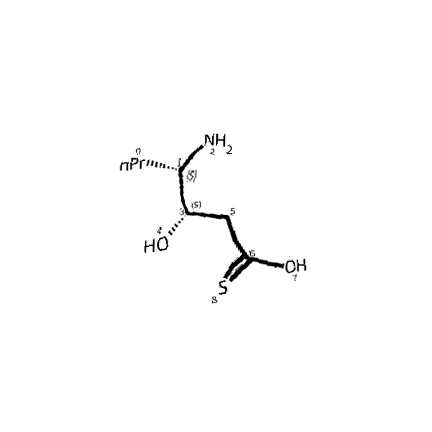 CCC[C@H](N)[C@@H](O)CC(O)=S